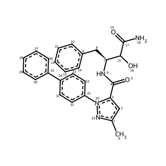 Cc1cc(C(=O)N[C@@H](Cc2ccccc2)C(O)C(N)=O)n(-c2ccc(-c3ccccc3)cc2)n1